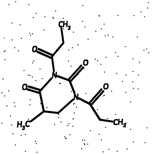 CCC(=O)N1CC(C)C(=O)N(C(=O)CC)C1=O